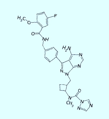 COc1ccc(F)cc1C(=O)NCc1ccc(-c2nn(CC3CCC3N(C)C(=O)n3cncn3)c3ncnc(N)c23)cc1